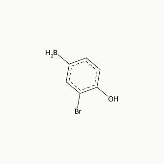 Bc1ccc(O)c(Br)c1